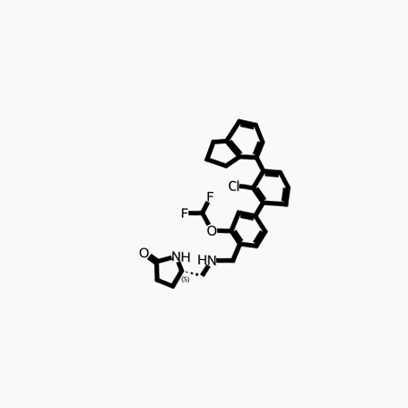 O=C1CC[C@@H](CNCc2ccc(-c3cccc(-c4cccc5c4CCC5)c3Cl)cc2OC(F)F)N1